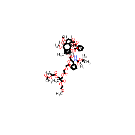 COCCOC(=O)C(C)(COC(=O)COCC(=O)O[C@@H](C(=O)O[C@H]1C[C@@]2(O)[C@@H](OC(=O)c3ccccc3)[C@@H]3[C@]4(OC(C)=O)CO[C@@H]4C[C@H](OC)[C@@]3(C)C(=O)[C@H](OC)C(=C1C)C2(C)C)[C@@H](NC(=O)OC(C)(C)C)c1ccccc1)COC(=O)C(C)OC(C)=O